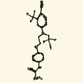 N#Cc1ccc(N(CCOc2ccc(NC(=N)N)cc2)CC(F)(F)F)cc1C(F)(F)F